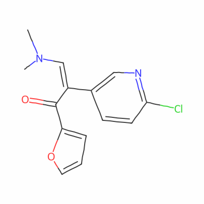 CN(C)C=C(C(=O)c1ccco1)c1ccc(Cl)nc1